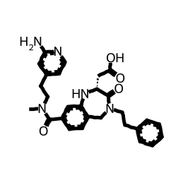 CN(CCc1ccnc(N)c1)C(=O)c1ccc2c(c1)N[C@H](CC(=O)O)C(=O)N(CCc1ccccc1)C2